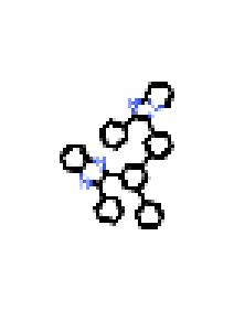 c1ccc(-c2cc(-c3cccc(-c4c(-c5ccccc5)nc5ccccn45)c3)cc(-c3nc4ccccc4nc3-c3ccccc3)c2)cc1